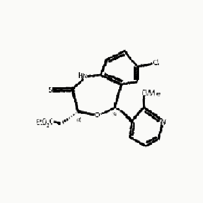 CCOC(=O)C[C@H]1O[C@H](c2cccnc2OC)c2cc(Cl)ccc2NC1=S